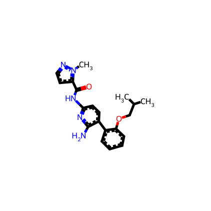 CC(C)COc1ccccc1-c1ccc(NC(=O)c2ccnn2C)nc1N